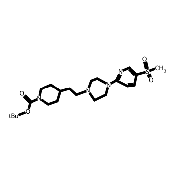 CC(C)(C)OC(=O)N1CCC(CCN2CCN(c3ccc(S(C)(=O)=O)cn3)CC2)CC1